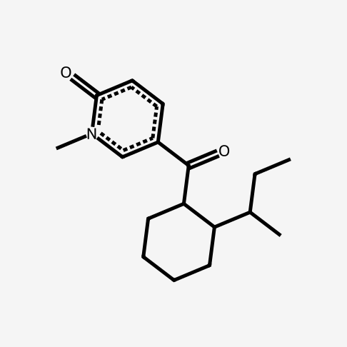 CCC(C)C1CCCCC1C(=O)c1ccc(=O)n(C)c1